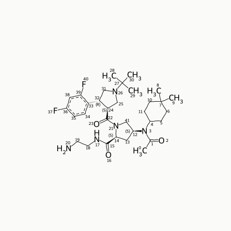 CC(=O)N(C1CCC(C)(C)CC1)[C@H]1C[C@@H](C(=O)NCCN)N(C(=O)[C@@H]2CN(C(C)(C)C)C[C@H]2c2ccc(F)cc2F)C1